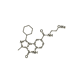 COCCNC(=O)c1ccc2[nH]c(=O)c3c(C)nc(C4CCCCC4)n3c2c1